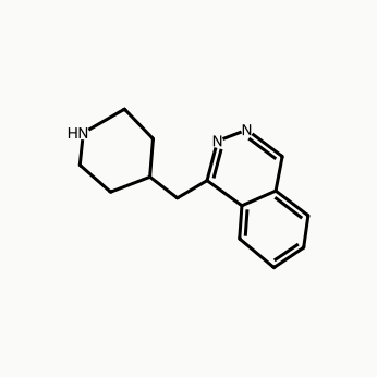 c1ccc2c(CC3CCNCC3)nncc2c1